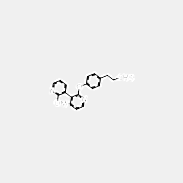 COc1ncccc1-c1cccnc1Oc1ccc(CCC=O)cc1